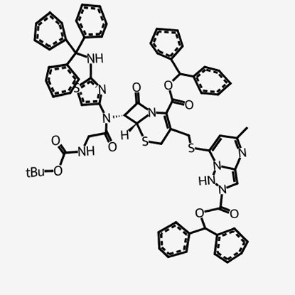 CC1=NC2=CN(C(=O)OC(c3ccccc3)c3ccccc3)NN2C(SCC2=C(C(=O)OC(c3ccccc3)c3ccccc3)N3C(=O)[C@@H](N(C(=O)CNC(=O)OC(C)(C)C)c4csc(NC(c5ccccc5)(c5ccccc5)c5ccccc5)n4)[C@H]3SC2)=C1